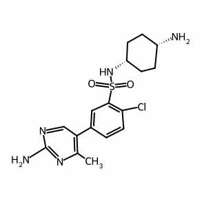 Cc1nc(N)ncc1-c1ccc(Cl)c(S(=O)(=O)N[C@H]2CC[C@@H](N)CC2)c1